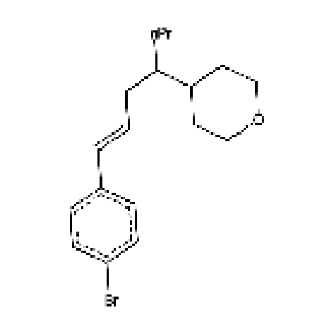 CCC[C](CC=Cc1ccc(Br)cc1)C1CCOCC1